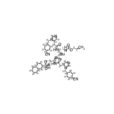 C=CCOC(=O)NC[C@@H](NC(=O)Cc1cncn1Cc1ccc(C#N)cc1)[C@@H](C)CC.CCC(C)C(CNS(=O)(=O)c1ccc2ccccc2c1)NC(=O)Cc1cncn1Cc1ccc(C#N)cc1